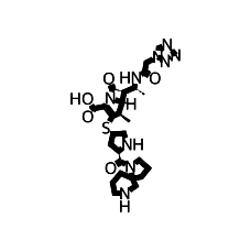 C[C@@H](NC(=O)Cn1cnnn1)[C@H]1C(=O)N2C(C(=O)O)=C(S[C@@H]3CN[C@H](C(=O)N4CCCC45CCCNC5)C3)[C@H](C)[C@H]12